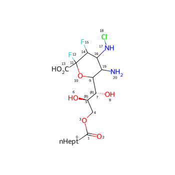 CCCCCCCC(=O)OC[C@@H](O)[C@@H](O)C1OC(F)(C(=O)O)C(F)C(NCl)C1N